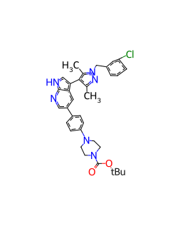 Cc1nn(Cc2cccc(Cl)c2)c(C)c1-c1c[nH]c2ncc(-c3ccc(N4CCN(C(=O)OC(C)(C)C)CC4)cc3)cc12